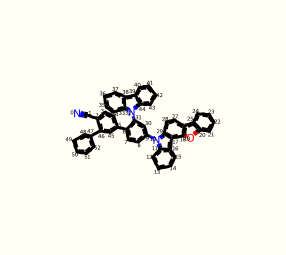 N#Cc1ccc(-c2ccc(-n3c4ccccc4c4c5oc6ccccc6c5ccc43)cc2-n2c3ccccc3c3ccccc32)cc1-c1ccccc1